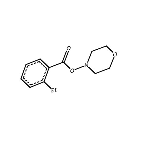 CCc1ccccc1C(=O)ON1CCOCC1